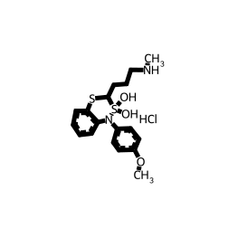 CNCCCC1Sc2ccccc2N(c2ccc(OC)cc2)S1(O)O.Cl